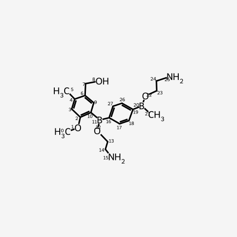 COc1cc(C)c(CO)cc1B(OCCN)c1ccc(B(C)OCCN)cc1